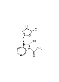 CC(=O)c1c(O)n(CC2=CNC(Cl)S2)c2cccc[n+]12